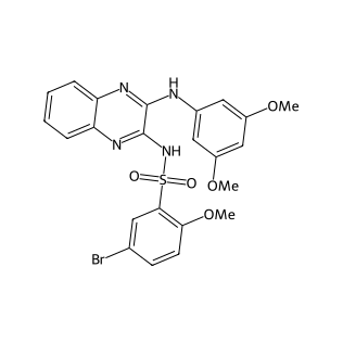 COc1cc(Nc2nc3ccccc3nc2NS(=O)(=O)c2cc(Br)ccc2OC)cc(OC)c1